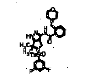 CC1(C)c2[nH]nc(NC(=O)c3ccccc3CN3CCOCC3)c2CN1S(=O)(=O)c1cc(F)cc(F)c1